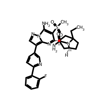 CCC12CC[C@@H](C[C@H](c3nc4c(-c5ccc(-c6ccccc6F)nc5)cnn4c(N)c3S(C)(=O)=O)C1)N2C(N)=O